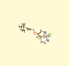 [2H]C([2H])([2H])C#CCOc1cnc2c(Cl)nccc2c1